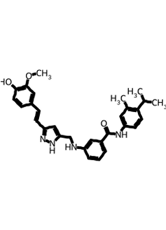 COc1cc(C=Cc2cc(CNc3cccc(C(=O)Nc4ccc(C(C)C)c(C)c4)c3)[nH]n2)ccc1O